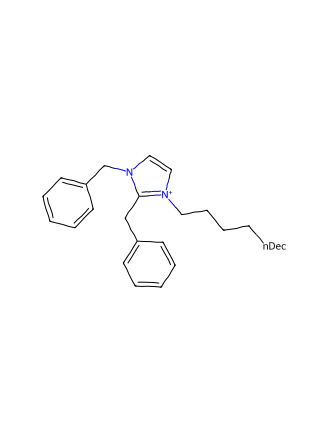 CCCCCCCCCCCCCC[n+]1ccn(Cc2ccccc2)c1Cc1ccccc1